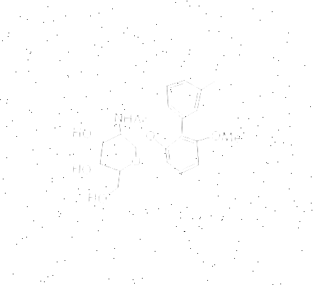 COc1cccc(O[C@@H]2OC(CO)[C@H](O)[C@H](O)C2NC(C)=O)c1-c1cccc(C)c1